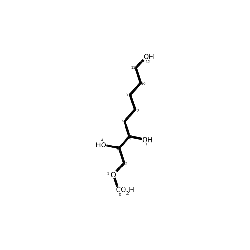 O=C(O)OCC(O)C(O)CCCCCO